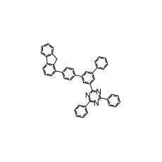 c1ccc(-c2cc(-c3ccc(-c4cccc5c4Cc4ccccc4-5)cc3)cc(-c3nc(-c4ccccc4)nc(-c4ccccc4)n3)c2)cc1